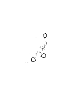 COc1ccc(N2Sc3cc(Cl)ccc3[C@@](CCCN3CCN(c4ccccc4OC)CC3)(OP(=O)(O)O)C(=O)[C@H]2OC(C)=O)cc1